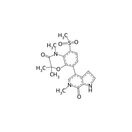 CN1C(=O)C(C)(C)Oc2c(-c3cn(C)c(=O)c4[nH]ccc34)ccc(S(C)(=O)=O)c21